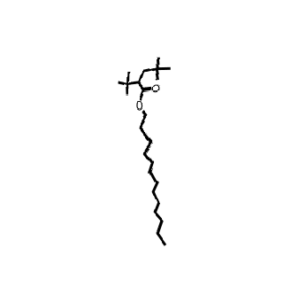 CCCCCCCCCCCCCOC(=O)C(CC(C)(C)C)C(C)(C)C